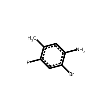 Cc1cc(N)c(Br)cc1F